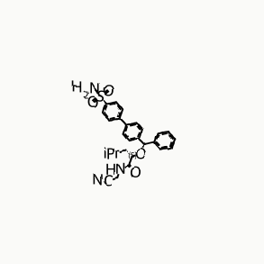 CC(C)C[C@H](OC(c1ccccc1)c1ccc(-c2ccc(S(N)(=O)=O)cc2)cc1)C(=O)NCC#N